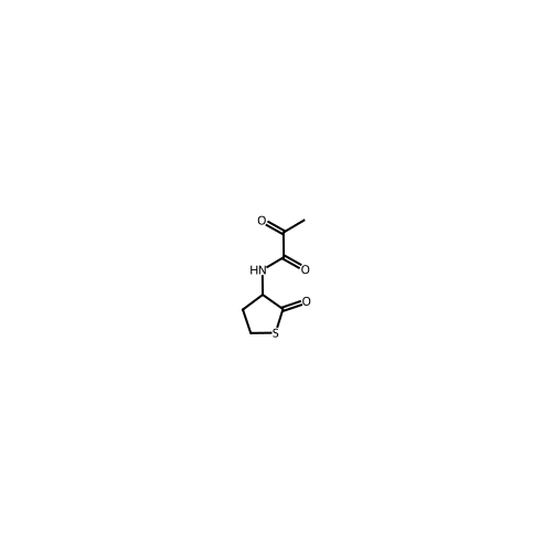 CC(=O)C(=O)NC1CCSC1=O